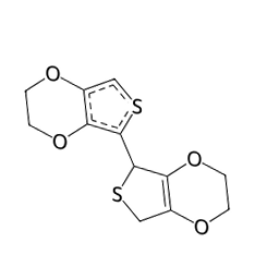 c1sc(C2SCC3=C2OCCO3)c2c1OCCO2